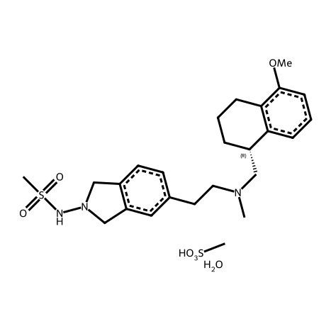 COc1cccc2c1CCC[C@H]2CN(C)CCc1ccc2c(c1)CN(NS(C)(=O)=O)C2.CS(=O)(=O)O.O